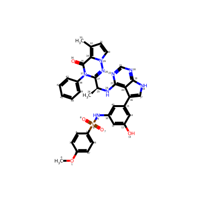 COc1ccc(S(=O)(=O)Nc2cc(O)cc(-c3c[nH]c4ncnc(N[C@@H](C)c5nn6ccc(C)c6c(=O)n5-c5ccccc5)c34)c2)cc1